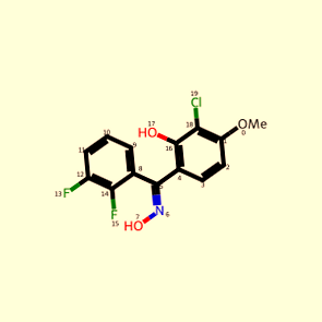 COc1ccc(C(=NO)c2cccc(F)c2F)c(O)c1Cl